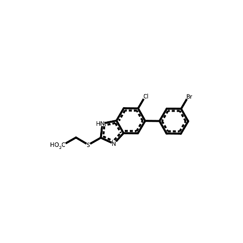 O=C(O)CSc1nc2cc(-c3cccc(Br)c3)c(Cl)cc2[nH]1